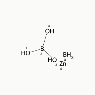 B.OB(O)O.[Zn]